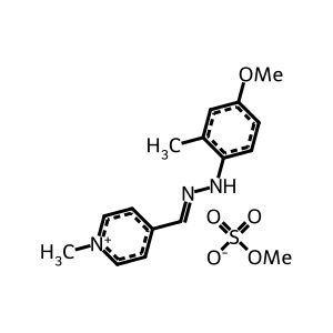 COS(=O)(=O)[O-].COc1ccc(NN=Cc2cc[n+](C)cc2)c(C)c1